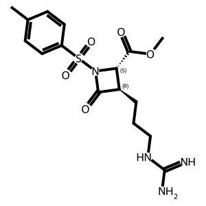 COC(=O)[C@@H]1[C@@H](CCCNC(=N)N)C(=O)N1S(=O)(=O)c1ccc(C)cc1